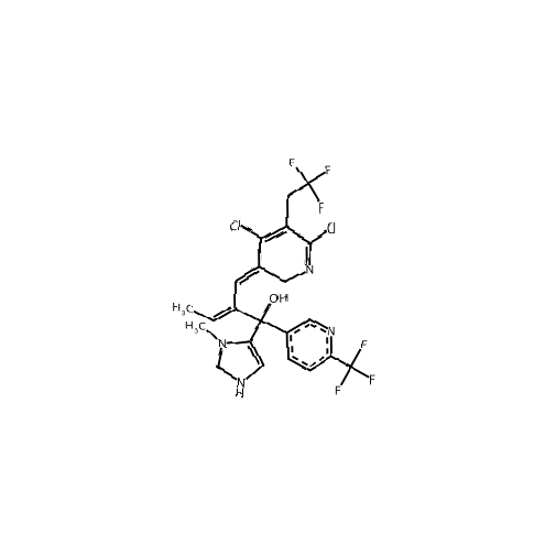 C/C=C(\C=C1/CN=C(Cl)C(CC(F)(F)F)=C1Cl)C(O)(C1=CNCN1C)c1ccc(C(F)(F)F)nc1